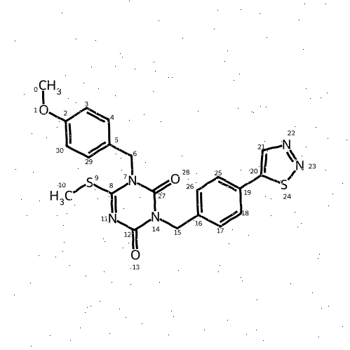 COc1ccc(Cn2c(SC)nc(=O)n(Cc3ccc(-c4cnns4)cc3)c2=O)cc1